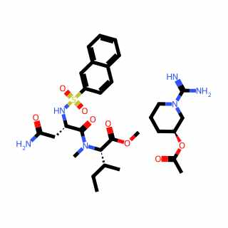 CC(=O)O[C@H]1CCCN(C(=N)N)C1.CCC(C)[C@@H](C(=O)OC)N(C)C(=O)[C@H](CC(N)=O)NS(=O)(=O)c1ccc2ccccc2c1